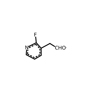 O=[C]Cc1cccnc1F